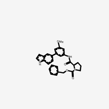 COc1cc(NC(=O)C2CCCN2C(=O)OCc2ccccc2)cc(-c2ccc3[nH]ccc3c2)c1